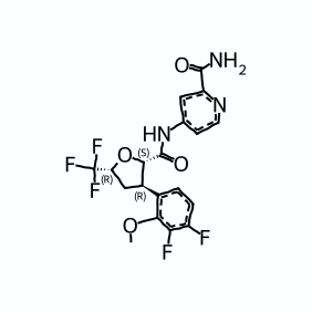 COc1c([C@H]2C[C@H](C(F)(F)F)O[C@@H]2C(=O)Nc2ccnc(C(N)=O)c2)ccc(F)c1F